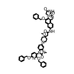 COC1(CC(=O)Nc2ccc3c(F)c(N4CC(=O)NS4(=O)=O)c(OCc4ccccc4)cc3c2)CCN(c2ccc3c(c2)n(C)c(=O)n3-c2ccc(OCc3ccccc3)nc2OCc2ccccc2)CC1